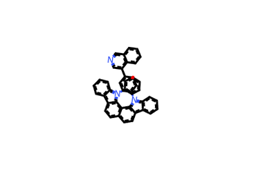 c1ccc(-n2c3ccccc3c3ccc4ccc5c6ccccc6n(-c6ccc(-c7cncc8ccccc78)cc6)c5c4c32)cc1